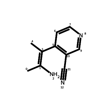 C/C(N)=C(\C)c1ccncc1C#N